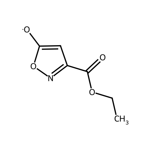 CCOC(=O)c1cc([O])on1